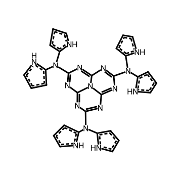 c1c[nH]c(N(C2=NC3=NC(N(c4ccc[nH]4)c4ccc[nH]4)=NC4=NC(N(c5ccc[nH]5)c5ccc[nH]5)=NC(=N2)N34)c2ccc[nH]2)c1